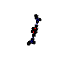 C(=C\c1ccc2c(c1)c1ccccc1n2-c1ccc2ccccc2c1)/c1ccc(-c2ccc3c(c2)C2(c4ccccc4-c4ccccc42)c2cc(-c4ccc(/C=C/c5ccc6c(c5)c5ccccc5n6-c5ccc6ccccc6c5)cc4)ccc2-3)cc1